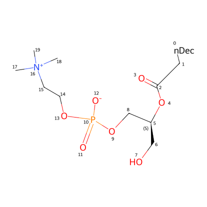 CCCCCCCCCCCC(=O)O[C@@H](CO)COP(=O)([O-])OCC[N+](C)(C)C